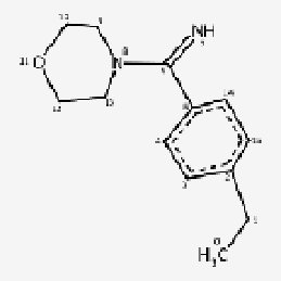 CCc1ccc(C(=N)N2CCOCC2)cc1